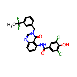 CC(F)(F)c1cccc(Cn2cnc3cccc(NC(=O)c4cc(Cl)c(O)c(Cl)c4)c3c2=O)c1